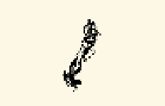 CN(C)S(=O)(=O)N1CCC2(CC1)CC(C(=O)N1CCN(c3ncnc4sccc34)CC1)=NO2